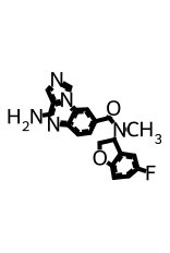 CN(C(=O)c1ccc2nc(N)c3cncn3c2c1)[C@@H]1COc2ccc(F)cc21